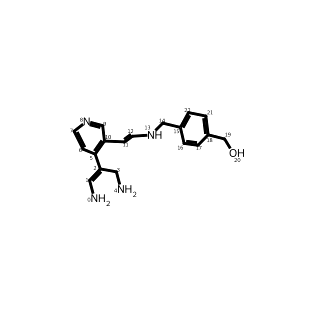 N/C=C(\CN)c1ccncc1/C=C/NCc1ccc(CO)cc1